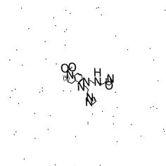 COC(=O)N1c2ccc3c(nc(CCn4cccn4)n3CCNCc3cnco3)c2CC[C@@H]1C